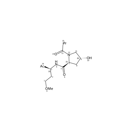 COCC[C@H](NC(=O)[C@@H]1C[C@@H](O)CN1C(=O)C(C)C)C(C)=O